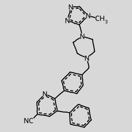 Cn1cnnc1N1CCN(Cc2ccc(-c3ncc(C#N)cc3-c3ccccc3)cc2)CC1